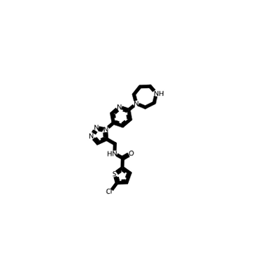 O=C(NCc1cnnn1-c1ccc(N2CCCNCC2)nc1)c1ccc(Cl)s1